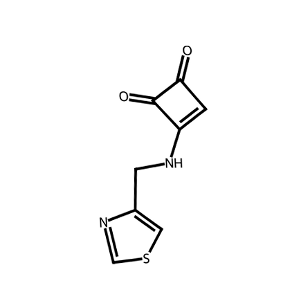 O=c1cc(NCc2cscn2)c1=O